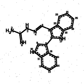 N=C(N)NN=Cc1c(-c2c[nH]c3ccccc23)[nH]c2ccccc12